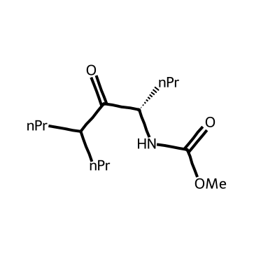 CCCC(CCC)C(=O)[C@H](CCC)NC(=O)OC